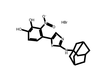 Br.O=[N+]([O-])c1c(-c2cnc(NC34CC5CC(CC(C5)C3)C4)s2)ccc(O)c1O